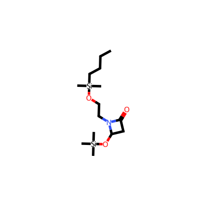 CCCC[Si](C)(C)OCCN1C(=O)CC1O[Si](C)(C)C